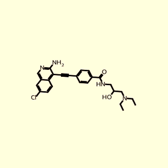 CCN(CC)CC(O)CNC(=O)c1ccc(C#Cc2c(N)ncc3cc(Cl)ccc23)cc1